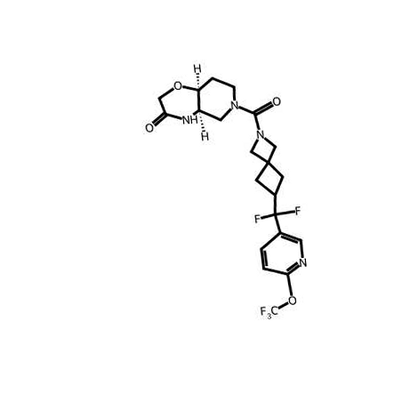 O=C1CO[C@H]2CCN(C(=O)N3CC4(CC(C(F)(F)c5ccc(OC(F)(F)F)nc5)C4)C3)C[C@H]2N1